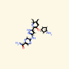 Cc1cc(O[C@@H]2CC[C@H](N)C2)c(-c2cc(Nc3cnc(C(N)=O)cn3)n[nH]2)nc1C